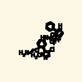 Cn1ncc(Cl)c1-c1cc(NC(=O)OC2(C(F)(F)F)C=CNN2c2ccccc2)ccc1OCCN